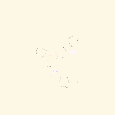 CN(Cc1cccc(C#N)c1)C(=O)C(F)(C1CCc2c([nH]c3ccc(Cl)cc23)C1)S(=O)(=O)c1ccccc1